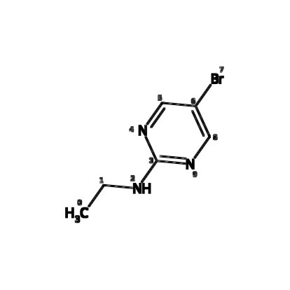 CCNc1ncc(Br)cn1